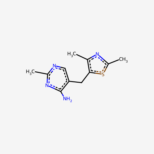 Cc1ncc(Cc2sc(C)nc2C)c(N)n1